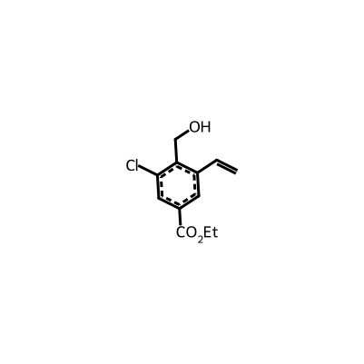 C=Cc1cc(C(=O)OCC)cc(Cl)c1CO